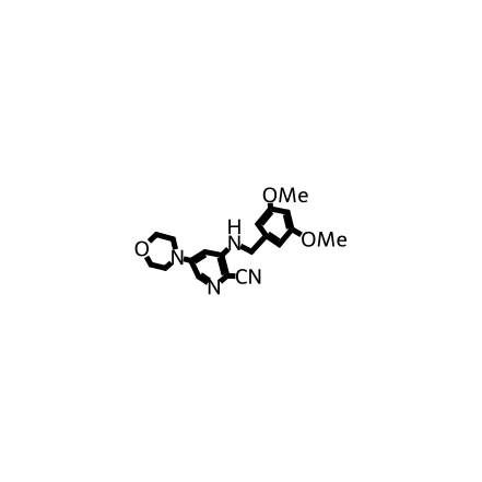 COc1cc(CNc2cc(N3CCOCC3)cnc2C#N)cc(OC)c1